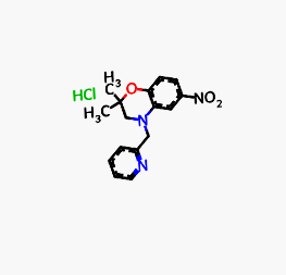 CC1(C)CN(Cc2ccccn2)c2cc([N+](=O)[O-])ccc2O1.Cl